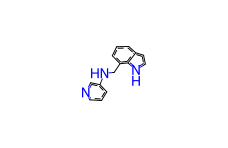 c1cncc(NCc2cccc3cc[nH]c23)c1